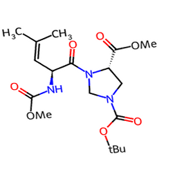 COC(=O)N[C@@H](C=C(C)C)C(=O)N1CN(C(=O)OC(C)(C)C)C[C@H]1C(=O)OC